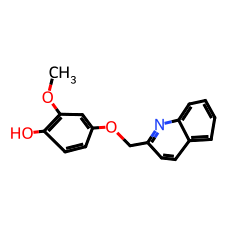 COc1cc(OCc2ccc3ccccc3n2)ccc1O